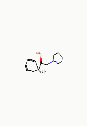 Br.CC1(C(=O)CN2CCCCC2)C=CC=CC1